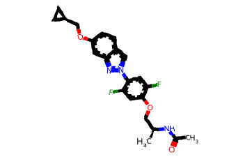 CC(=O)N[C@@H](C)COc1cc(F)c(-n2cc3ccc(OCC4CC4)cc3n2)cc1F